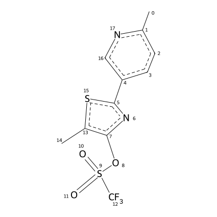 Cc1ccc(-c2nc(OS(=O)(=O)C(F)(F)F)c(C)s2)cn1